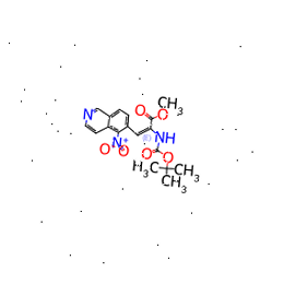 COC(=O)/C(=C\c1ccc2cnccc2c1[N+](=O)[O-])NC(=O)OC(C)(C)C